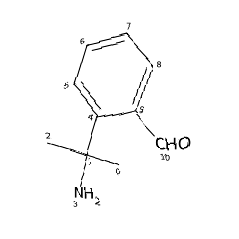 CC(C)(N)c1ccccc1C=O